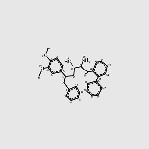 COc1ccc(C(Cc2ccccc2)C[C@H](O)C(N)Oc2ccccc2-c2ccccc2)cc1OC